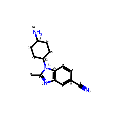 Cc1nc2cc(C#N)ccc2n1C1CCC(N)CC1